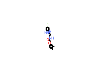 Cc1ccc(OCC(=O)NCCc2nc3cc(F)ccc3[nH]2)cc1C